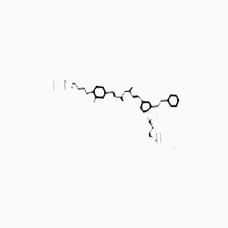 C=C(/C=C/c1ccc(CCCCN)c(C)c1)CC(=C)/C=C/c1ccc(OCCCN)c(CCc2ccccc2)c1